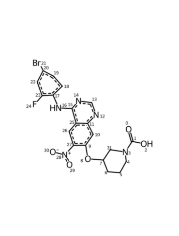 O=C(O)N1CCCC(Oc2cc3ncnc(Nc4ccc(Br)cc4F)c3cc2[N+](=O)[O-])C1